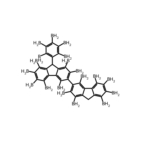 Bc1c(B)c(B)c(C2c3c(B)c(B)c(B)c(B)c3-c3c(B)c(-c4c(B)c(B)c5c(c4B)-c4c(B)c(B)c(B)c(B)c4C5)c(B)c(B)c32)c(B)c1B